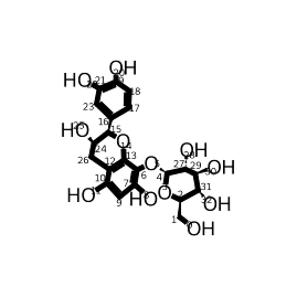 OC[C@H]1O[C@H](Oc2c(O)cc(O)c3c2O[C@H](c2ccc(O)c(O)c2)[C@H](O)C3)[C@H](O)[C@@H](O)[C@@H]1O